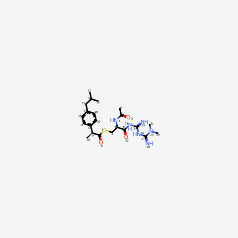 CC(=O)NC(CSC(=O)[C@@H](C)c1ccc(CC(C)C)cc1)C(=O)NC(=N)NC(=N)N(C)C